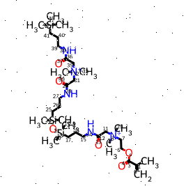 C=C(C)C(=O)OCC[N+](C)(C)CC(=O)NCCC[Si](C)(C)O[Si](C)(C)CCCNC(=O)C[N+](C)(C)CC(=O)NCCC[Si](C)(C)C